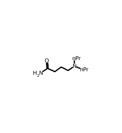 CCCN(CCC)CCCC(N)=O